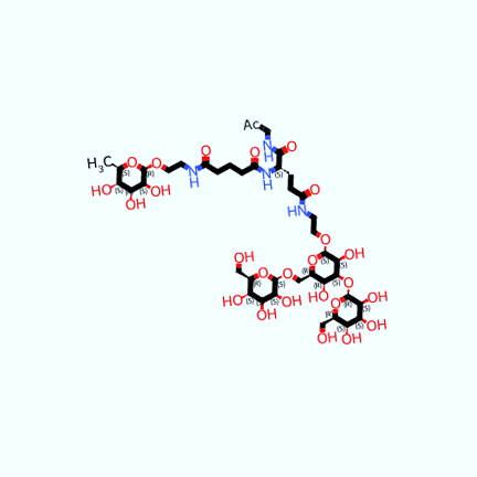 CC(=O)CNC(=O)[C@H](CCC(=O)NCCO[C@H]1O[C@H](CO[C@H]2O[C@H](CO)[C@@H](O)[C@H](O)[C@@H]2O)[C@@H](O)[C@H](O[C@H]2O[C@H](CO)[C@@H](O)[C@H](O)[C@@H]2O)[C@@H]1O)NC(=O)CCCC(=O)NCCO[C@@H]1O[C@@H](C)[C@@H](O)[C@@H](O)[C@@H]1O